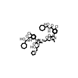 Cc1nn(-c2ccc(Cl)c(C(=O)NC(O)C3CCCCCC3)c2)c(=O)n1CC(O)CN.Cc1nn(-c2ccc(Cl)c(C(=O)NC(O)C3CCCCCC3)c2)c(=O)n1CC(O)CN1CCCC1